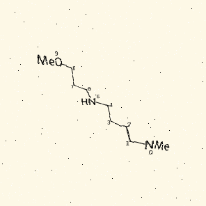 CNCCCCNCCCOC